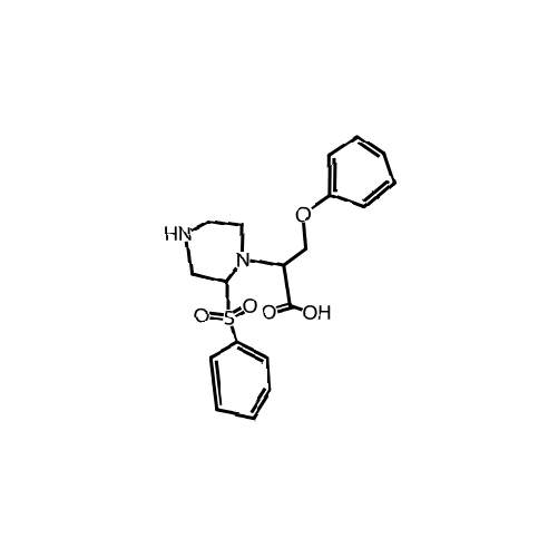 O=C(O)C(COc1ccccc1)N1CCNCC1S(=O)(=O)c1ccccc1